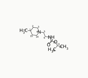 CC1CCN(CCNC(=O)OC(C)C)CC1